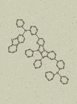 c1ccc(N(c2ccccc2)c2cccc(-c3ccc4c5c6ccc(-c7cccc(N(c8ccccc8)c8ccc9c(c8)oc8ccccc89)c7)cc6n(-c6ccccc6)c5n(-c5ccccc5)c4c3)c2)cc1